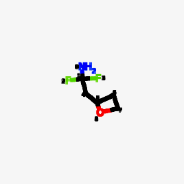 NC(F)(F)CC1CCO1